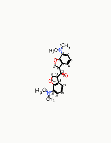 CN(C)c1cccc2c1OCC2C(=O)C1COc2c1cccc2N(C)C